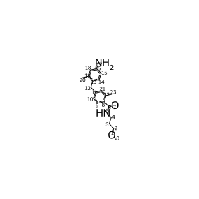 COCCCNC(=O)c1ccc(Cc2ccc(N)cc2C)cc1C